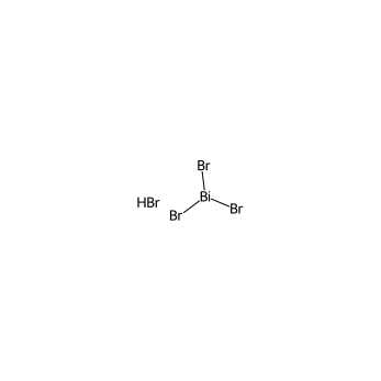 Br.[Br][Bi]([Br])[Br]